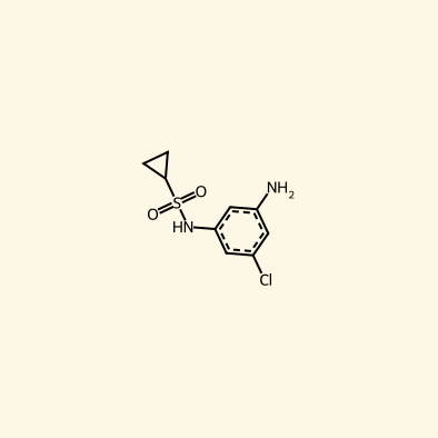 Nc1cc(Cl)cc(NS(=O)(=O)C2CC2)c1